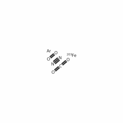 N#N.O=C=O.O=O.[203Fe].[Ar]